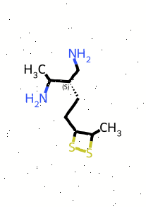 CC1SSC1CC[C@@H](CN)C(C)N